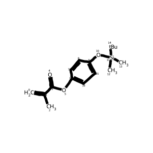 C=C(C)C(=O)Oc1ccc(O[Si](C)(C)C(C)(C)C)cc1